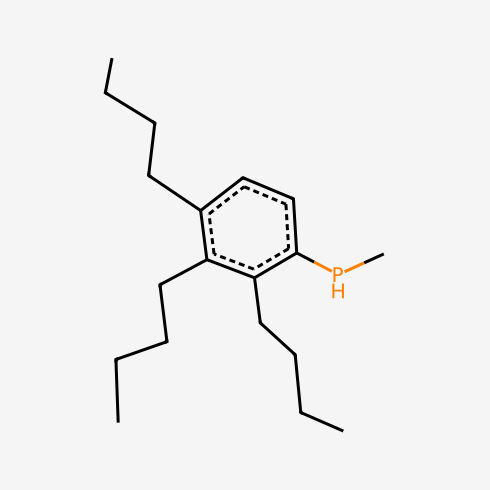 CCCCc1ccc(PC)c(CCCC)c1CCCC